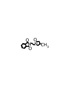 C[C@@H]1CC(=O)N(CCN2C(=O)c3ccccc3C2=O)C1